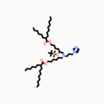 CCCCCCCCC(CCCCCC)C(=O)OCCCCCCN(CCCn1ccnc1)CC(CCCCOC(=O)C(CCCCCC)CCCCCCCC)O[Si](C)(C)C(C)(C)C